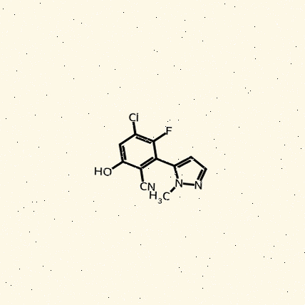 Cn1nccc1-c1c(F)c(Cl)cc(O)c1C#N